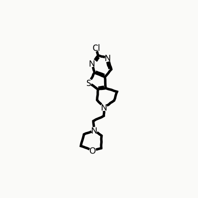 Clc1ncc2c3c(sc2n1)CN(CCN1CCOCC1)CC3